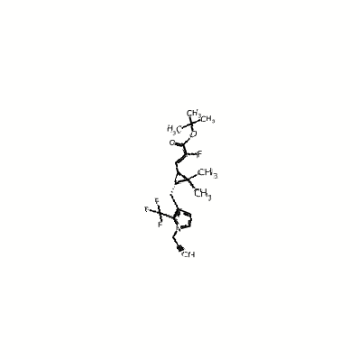 C#CCn1ccc(C[C@@H]2C(/C=C(\F)C(=O)OC(C)(C)C)C2(C)C)c1C(F)(F)F